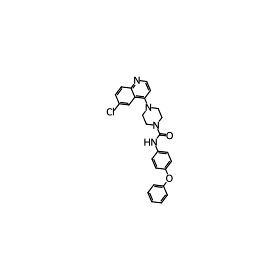 O=C(Nc1ccc(Oc2ccccc2)cc1)N1CCN(c2ccnc3ccc(Cl)cc23)CC1